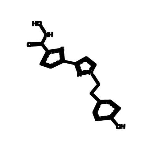 O=C(NO)c1ccc(-c2ccn(CCc3ccc(O)cc3)n2)s1